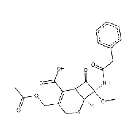 CO[C@]1(NC(=O)Cc2ccccc2)C(=O)N2C(C(=O)O)=C(COC(C)=O)CS[C@@H]21